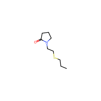 CCCSCCN1CCCC1=O